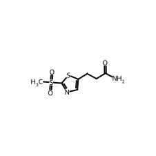 CS(=O)(=O)c1ncc([CH]CC(N)=O)s1